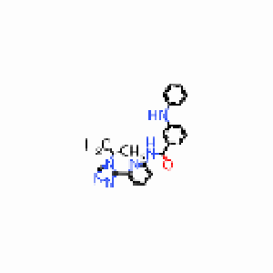 CC(C)n1cnnc1-c1cccc(NC(=O)c2cccc(Nc3ccccc3)c2)n1